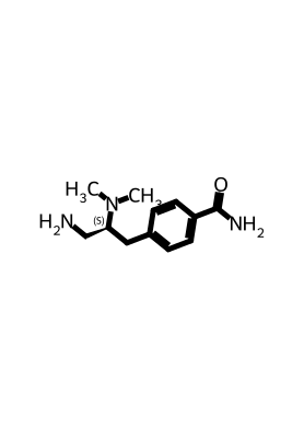 CN(C)[C@H](CN)Cc1ccc(C(N)=O)cc1